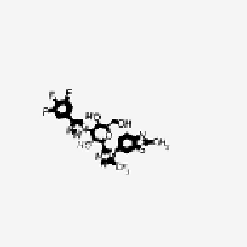 Cc1nc2ccc(-n3c([C@@H]4O[C@H](CO)[C@H](O)[C@H](n5cc(-c6cc(F)c(F)c(F)c6)nn5)[C@H]4O)nnc3C(F)(F)F)cc2s1